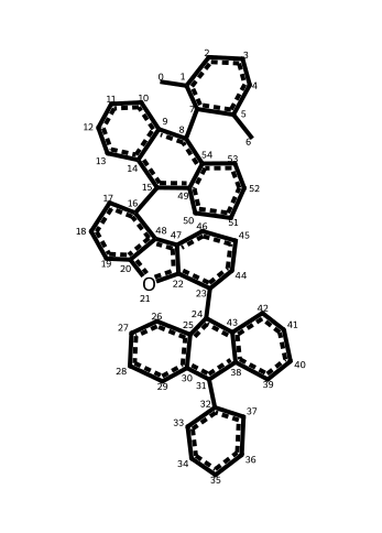 Cc1cccc(C)c1-c1c2ccccc2c(-c2cccc3oc4c(-c5c6ccccc6c(-c6ccccc6)c6ccccc56)cccc4c23)c2ccccc12